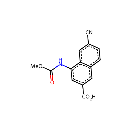 COC(=O)Nc1cc(C(=O)O)cc2ccc(C#N)cc12